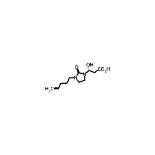 C=CCCCN1CCN([C@H](O)CC(=O)O)C1=O